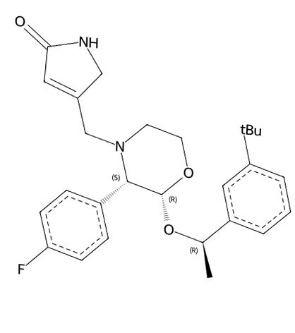 C[C@@H](O[C@H]1OCCN(CC2=CC(=O)NC2)[C@H]1c1ccc(F)cc1)c1cccc(C(C)(C)C)c1